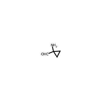 NC1([C]=O)CC1